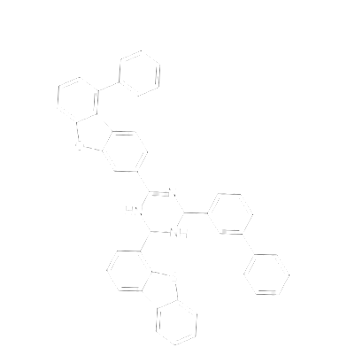 c1ccc(-c2cccc(C3N=C(c4ccc5c(c4)oc4cccc(-c6ccccc6)c45)NC(c4cccc5c4sc4ccccc45)N3)c2)cc1